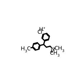 Cc1ccc(C(CCN(C)C)c2ccccc2)cc1.[Cl-].[H+]